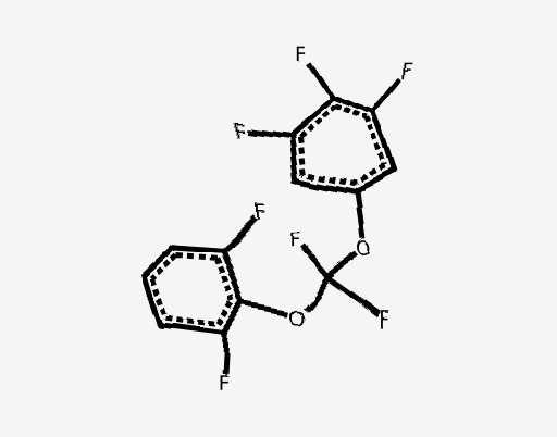 Fc1cc(OC(F)(F)Oc2c(F)cccc2F)cc(F)c1F